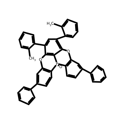 Cc1ccccc1-c1cc(-c2ccccc2C)c2c3c1Oc1cc(-c4ccccc4)ccc1P3(=O)c1ccc(-c3ccccc3)cc1O2